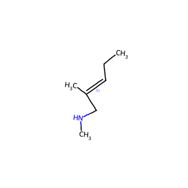 CC/C=C(\C)CNC